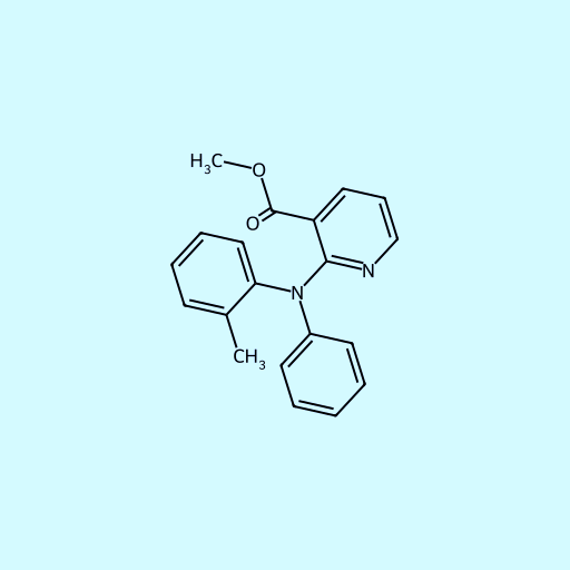 COC(=O)c1cccnc1N(c1ccccc1)c1ccccc1C